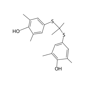 Cc1cc(SC(C)(C)Sc2cc(C)c(O)c(C)c2)cc(C)c1O